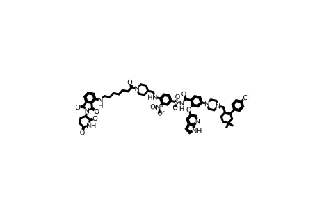 CC1(C)CCC(CN2CCN(c3ccc(C(=O)NS(=O)(=O)c4ccc(NCC5CCN(C(=O)CCCCCCNc6cccc7c6C(=O)N(C6CCC(=O)NC6=O)C7=O)CC5)c([N+](=O)[O-])c4)c(Oc4cnc5[nH]ccc5c4)c3)CC2)=C(c2ccc(Cl)cc2)C1